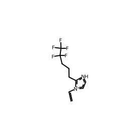 C=C[n+]1cc[nH]c1CCCC(F)(F)C(F)(F)F